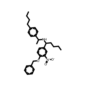 CCCCc1ccc(C(C)NC(CCCC)c2ccc(OCc3ccccc3)c([N+](=O)[O-])c2)cc1